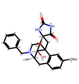 COc1ccc2c(c1)C13CCN(Cc4ccccc4)[C@H](C2)[C@]1(O)CC[C@@]1(C3)NC(=O)NC1=O